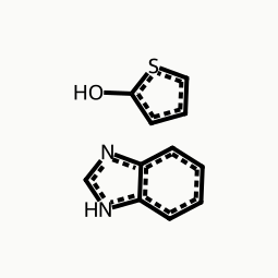 Oc1cccs1.c1ccc2[nH]cnc2c1